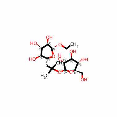 CCO[C@@H]1O[C@H](CC(C)(C)O[C@@H]2O[C@H](CO)[C@@H](O)[C@H](O)[C@H]2O)[C@@H](O)[C@H](O)[C@H]1O